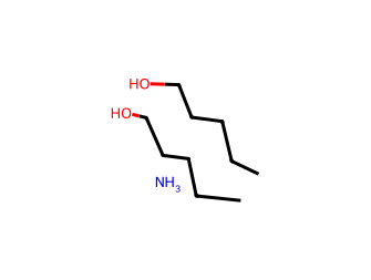 CCCCCO.CCCCCO.N